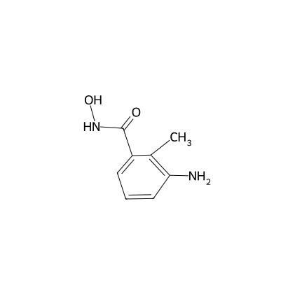 Cc1c(N)cccc1C(=O)NO